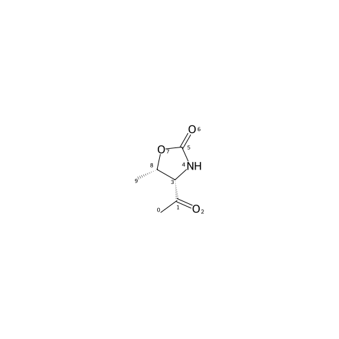 CC(=O)[C@H]1NC(=O)O[C@H]1C